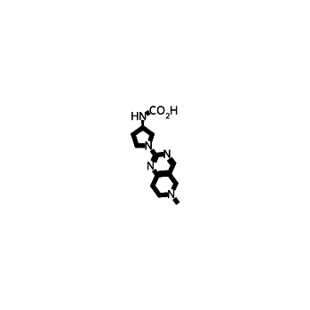 CN1CCc2nc(N3CC[C@@H](NC(=O)O)C3)ncc2C1